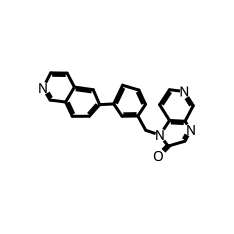 O=c1cnc2cnccc2n1Cc1cccc(-c2ccc3cnccc3c2)c1